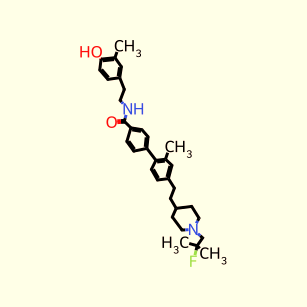 Cc1cc(CCNC(=O)c2ccc(-c3ccc(CCC4CCN(CC(C)(C)F)CC4)cc3C)cc2)ccc1O